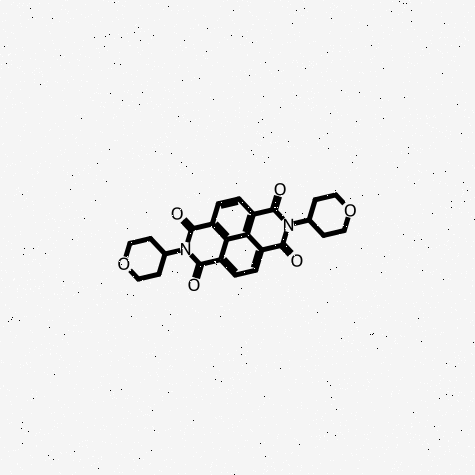 O=C1c2ccc3c4c(ccc(c24)C(=O)N1C1CCOCC1)C(=O)N(C1CCOCC1)C3=O